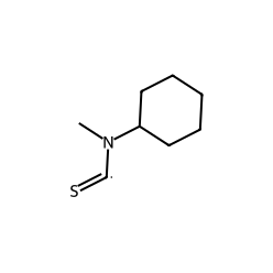 CN([C]=S)C1CCCCC1